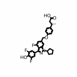 C[C@@H](CC(=O)O)c1ccc(OCc2cc(F)c3c(-c4cc(F)c(O)c(F)c4)nn(C4CCCC4)c3c2)cc1